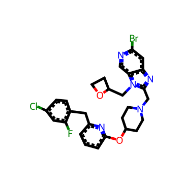 Fc1cc(Cl)ccc1Cc1cccc(OC2CCN(Cc3nc4cc(Br)ncc4n3CC3CCO3)CC2)n1